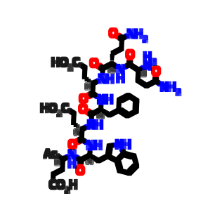 CC(=O)[C@H](CCC(=O)O)NC(=O)[C@H](Cc1c[nH]c2ccccc12)NC(=O)[C@H](CCC(=O)O)NC(=O)[C@H](Cc1ccccc1)NC(=O)[C@H](CCC(=O)O)NC(=O)[C@H](CCC(N)=O)NC(=O)[C@@H](N)CCC(N)=O